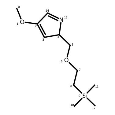 COC1=CC(COCC[Si](C)(C)C)N=C1